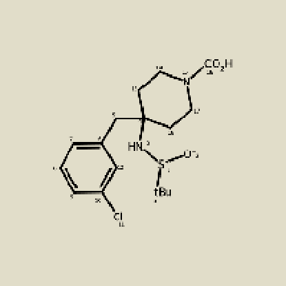 CC(C)(C)[S+]([O-])NC1(Cc2cccc(Cl)c2)CCN(C(=O)O)CC1